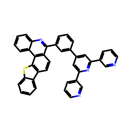 c1cncc(-c2cc(-c3cccc(-c4nc5ccccc5c5c4ccc4c6ccccc6sc45)c3)cc(-c3cccnc3)n2)c1